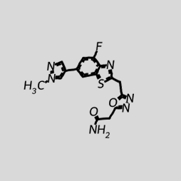 Cn1cc(-c2cc(F)c3nc(Cc4nnc(CC(N)=O)o4)sc3c2)cn1